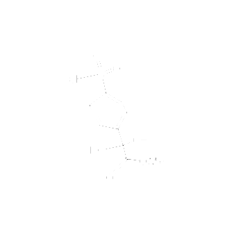 COC(=O)C(C)(C)c1ccc(S(=O)(=O)Cl)cc1